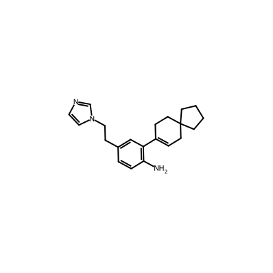 Nc1ccc(CCn2ccnc2)cc1C1=CCC2(CCCC2)CC1